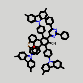 Cc1ccc2c(c1)c1cc(C)ccc1n2-c1ccc(-c2c(C#N)c(-c3cc(-c4ccccc4)nc(-c4ccccc4)n3)c(-c3ccc(-n4c5ccc(C)cc5c5cc(C)ccc54)cc3)c(-c3cccc4sc5ccccc5c34)c2-c2ccc(-n3c4ccc(C)cc4c4cc(C)ccc43)cc2)cc1